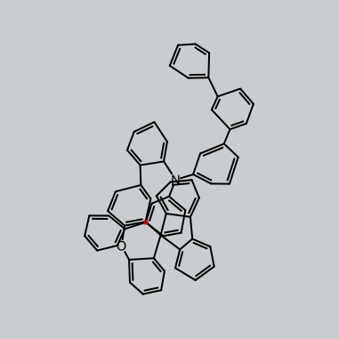 c1ccc(-c2cccc(-c3cccc(N(c4cccc(-c5ccccc5)c4)c4ccccc4-c4ccc5c(c4)C4(c6ccccc6O5)c5ccccc5-c5ccccc54)c3)c2)cc1